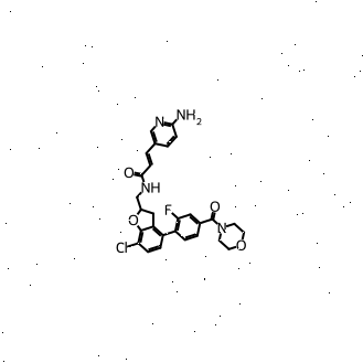 Nc1ccc(C=CC(=O)NCC2Cc3c(-c4ccc(C(=O)N5CCOCC5)cc4F)ccc(Cl)c3O2)cn1